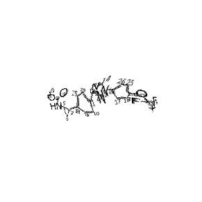 COC(=O)NC1CC1c1ccc(-c2ncn(-c3ccc(OC(F)(F)F)cc3)n2)cc1